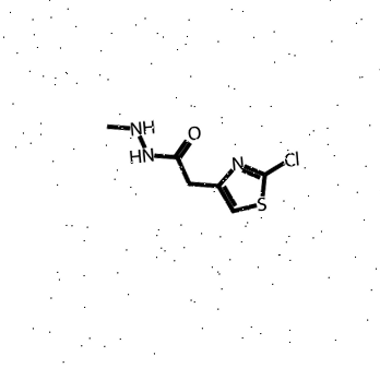 CNNC(=O)Cc1csc(Cl)n1